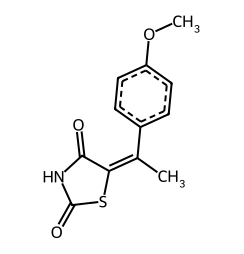 COc1ccc(/C(C)=C2/SC(=O)NC2=O)cc1